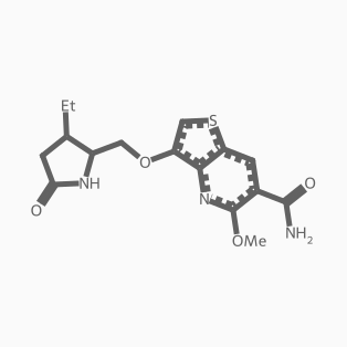 CCC1CC(=O)NC1COc1csc2cc(C(N)=O)c(OC)nc12